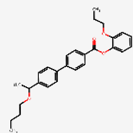 CCCCOC(C)c1ccc(-c2ccc(C(=O)Oc3ccccc3OCCC)cc2)cc1